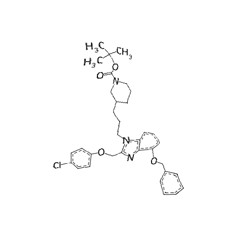 CC(C)(C)OC(=O)N1CCCC(CCCn2c(COc3ccc(Cl)cc3)nc3c(OCc4ccccc4)cccc32)C1